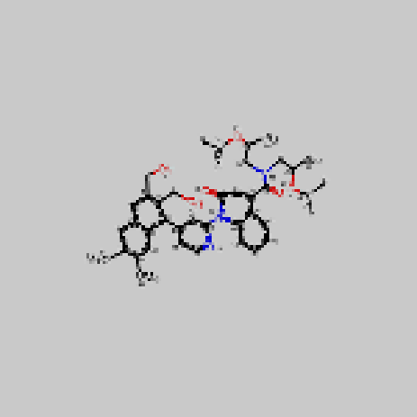 COc1cc2cc(CO)c(CO)c(-c3ccnc(-n4c(=O)cc(C(=O)N(CC(O[SiH](C)C)C(C)(C)C)CC(O[SiH](C)C)C(C)(C)C)c5ccccc54)c3)c2cc1OC